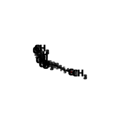 CCCCCCCCCCCCCCCC(=O)N[C@@H](C)C(=O)Oc1ccc(OC)cc1